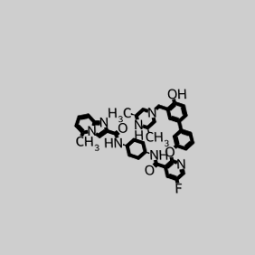 Cc1cccc2nc(C(=O)N[C@H]3CC[C@@H](NC(=O)c4cc(F)cnc4Oc4cccc(-c5ccc(O)c(CN6C[C@@H](C)N[C@@H](C)C6)c5)c4)CC3)cn12